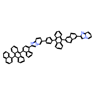 c1ccc2c(-c3c4ccccc4c(-c4ccc(-c5cn6cc(-c7ccc(-c8c9ccccc9c(-c9ccc%10cc(-c%11cn%12ccccc%12n%11)ccc%10c9)c9ccccc89)cc7)ccc6n5)c5ccccc45)c4ccccc34)cccc2c1